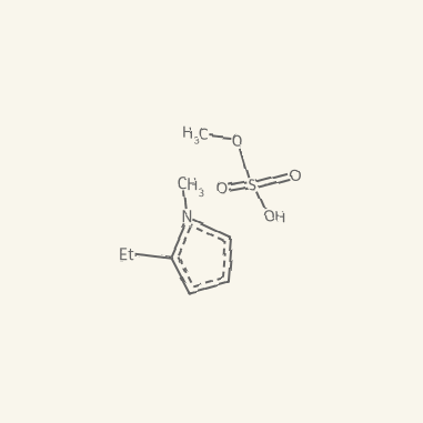 CCc1cccn1C.COS(=O)(=O)O